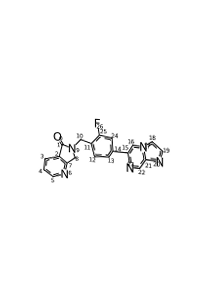 O=C1c2cccnc2CN1Cc1ccc(-c2cn3ccnc3cn2)cc1F